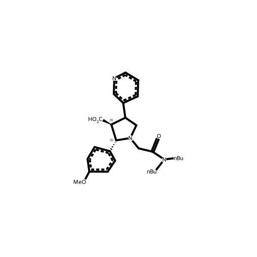 CCCCN(CCCC)C(=O)CN1CC(c2cccnc2)[C@H](C(=O)O)[C@H]1c1ccc(OC)cc1